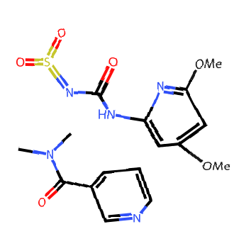 CN(C)C(=O)c1cccnc1.COc1cc(NC(=O)N=S(=O)=O)nc(OC)c1